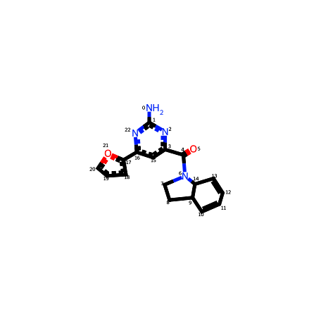 Nc1nc(C(=O)N2CCC3C=CC=CC32)cc(-c2ccco2)n1